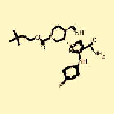 CC(C)(C)CCOC(=O)N1CC[C@@H](C=N)[C@H](n2cc(C(N)=O)c(Nc3ccc(F)cc3)n2)C1